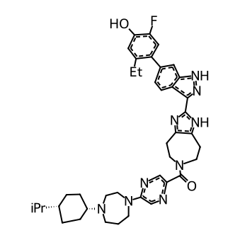 CCc1cc(O)c(F)cc1-c1ccc2c(-c3nc4c([nH]3)CCN(C(=O)c3cnc(N5CCCN([C@H]6CC[C@@H](C(C)C)CC6)CC5)cn3)CC4)n[nH]c2c1